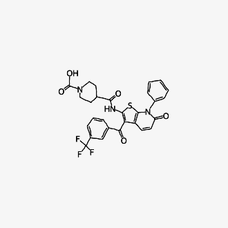 O=C(c1cccc(C(F)(F)F)c1)c1c(NC(=O)C2CCN(C(=O)O)CC2)sc2c1ccc(=O)n2-c1ccccc1